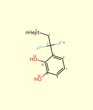 CCCCCCCCC(F)(F)c1cccc(O)c1O